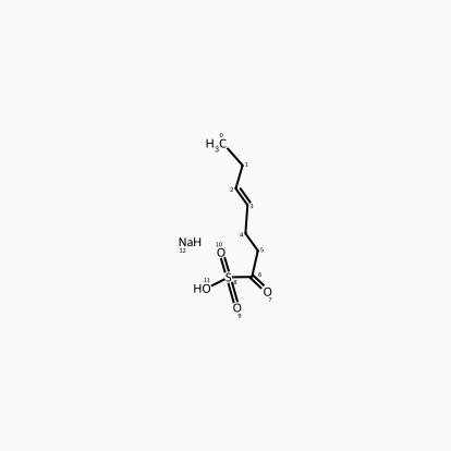 CCC=CCCC(=O)S(=O)(=O)O.[NaH]